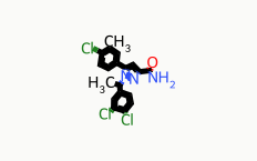 Cc1cc(-c2cc(C(N)=O)nn2C(C)c2ccc(Cl)c(Cl)c2)ccc1Cl